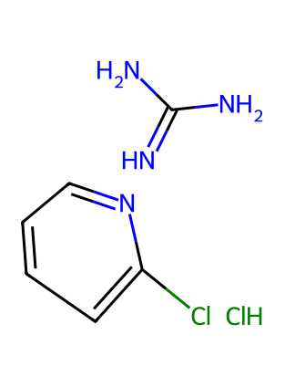 Cl.Clc1ccccn1.N=C(N)N